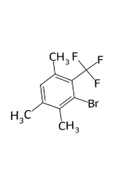 Cc1cc(C)c(C(F)(F)F)c(Br)c1C